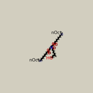 CCCCCCCC/C=C\CCCCCCCC(=O)OCCN(CCOC(=O)CCCCCCC/C=C\CCCCCCCC)C(=O)CCCCC(C)CCO